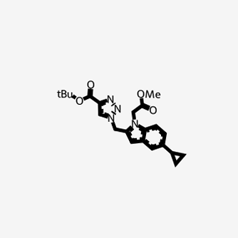 COC(=O)Cn1c(Cn2cc(C(=O)OC(C)(C)C)nn2)cc2cc(C3CC3)ccc21